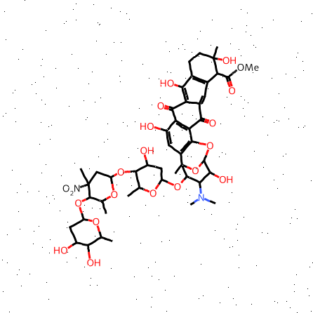 COC(=O)C1c2cc3c(c(O)c2CCC1(C)O)C(=O)c1c(O)cc2c(c1C3=O)OC1OC2(C)C(OC2CC(O)C(OC3CC(C)([N+](=O)[O-])C(OC4CC(O)C(O)C(C)O4)C(C)O3)C(C)O2)C(N(C)C)C1O